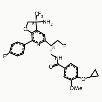 COc1cc(C(=O)NC[C@@H](CF)c2cc3c(c(-c4ccc(F)cc4)n2)OC[C@@]3(N)C(F)(F)F)ccc1OC1CC1